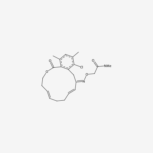 CNC(=O)CO/N=C1/C=C/CC/C=C/CCOC(=O)c2c(C)cc(C)c(Cl)c2C1